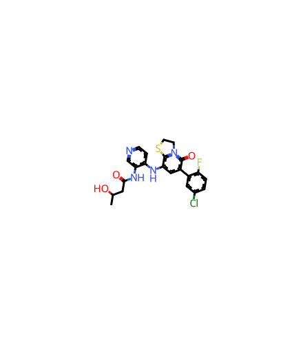 CC(O)CC(=O)Nc1cnccc1Nc1cc(-c2cc(Cl)ccc2F)c(=O)n2c1SCC2